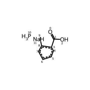 O=C(O)c1ccccc1I.P.[NaH]